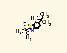 CCC(C)(C)c1ccc2nc(C(C)(C)C)sc2c1